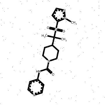 Cn1nccc1S(=O)(=O)C(C)(C)C1CCN(C(=O)Nc2ccncc2)CC1